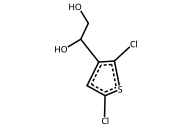 OCC(O)c1cc(Cl)sc1Cl